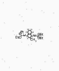 CCOC(C#Cc1cc(C)c(C#CC(OCC)OCC)c2ccccc12)OCC